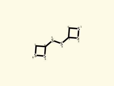 C1SSC1SSC1CSS1